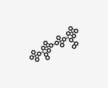 c1ccc(C2(c3ccc(-c4ccc5c(c4)-c4ccccc4C54c5ccccc5-c5c(N(c6ccc7c(c6)-c6ccccc6C7(c6ccccc6)c6ccccc6)c6ccc7ccccc7c6)cccc54)cc3)c3ccccc3-c3cc(N(c4ccc(-c5cccc6ccccc56)cc4)c4cccc5c4-c4ccccc4C54c5ccccc5-c5ccccc54)ccc32)cc1